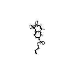 C=CCOC(=O)C1=CC=C2C(=O)NC=CN2C1